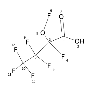 O=C(O)C(F)(OF)C(F)(F)C(F)(F)F